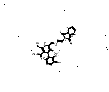 COC(=O)C1=C(CF)NC(COCCN2C(=O)c3ccccc3C2=O)=C(C(=O)O)C1c1c(F)ccc(F)c1C(F)(F)F